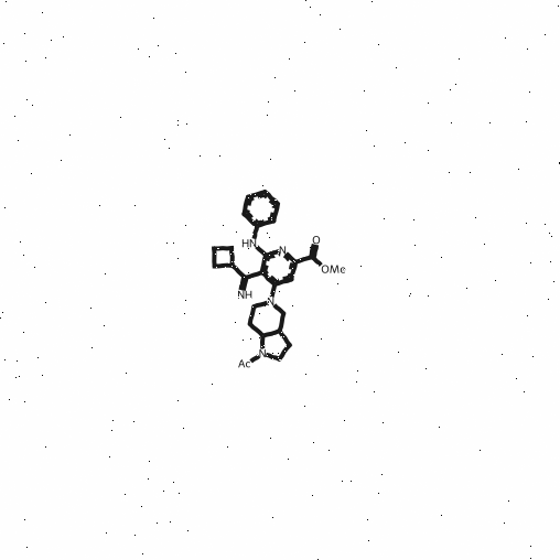 COC(=O)c1cc(N2CCC3C(CCN3C(C)=O)C2)c(C(=N)C2CCC2)c(Nc2ccccc2)n1